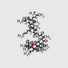 C/C=C/C[C@@H](C)C[C@@H](C(=O)NCC(=O)N(C)CC(=O)N(C)[C@@H](CC(C)(C)O)C(=O)NC(C(=O)N(C)[C@@H](CC(C)C)C(=O)N[C@@H](C)C=O)C(C)C)N(C)C(=O)CN(C)C(=O)[C@H](CC(C)C)N(C)C(=O)CCC(C)C